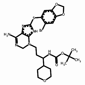 CC(C)(C)OC(=O)NC(CCN1CN=C(N)c2nc(Sc3cc4c(cc3Br)OCO4)[nH]c21)C1CCOCC1